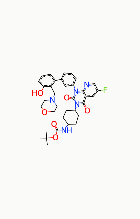 CC(C)(C)OC(=O)N[C@H]1CC[C@@H](n2c(=O)c3cc(F)cnc3n(-c3cccc(-c4cccc(O)c4CN4CCOCC4)c3)c2=O)CC1